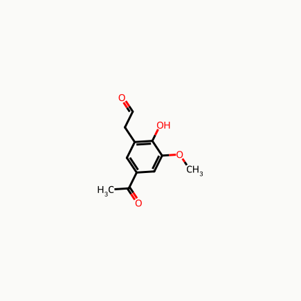 COc1cc(C(C)=O)cc(CC=O)c1O